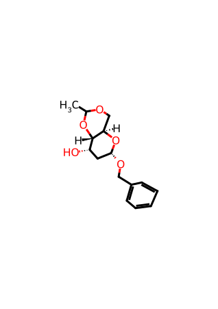 CC1OC[C@H]2O[C@H](OCc3ccccc3)C[C@H](O)[C@@H]2O1